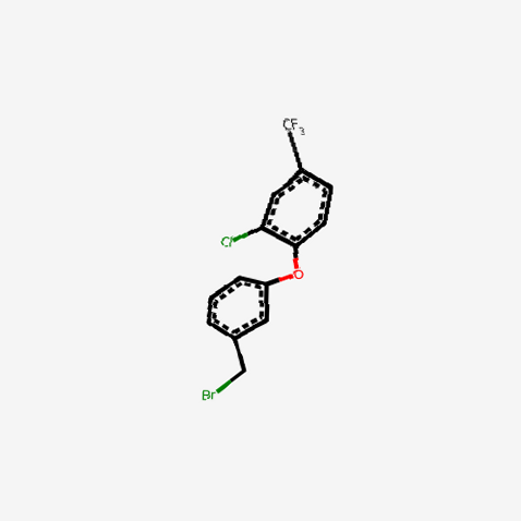 FC(F)(F)c1ccc(Oc2cccc(CBr)c2)c(Cl)c1